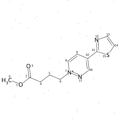 COC(=O)CCC[n+]1ccc(-c2nccs2)cn1